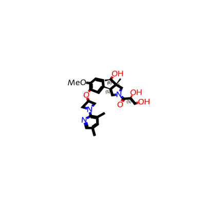 COc1ccc([C@@H]2CN(C(=O)[C@@H](O)CO)C[C@@]2(C)[C@@H](C)O)cc1OC1CN(c2ncc(C)cc2C)C1